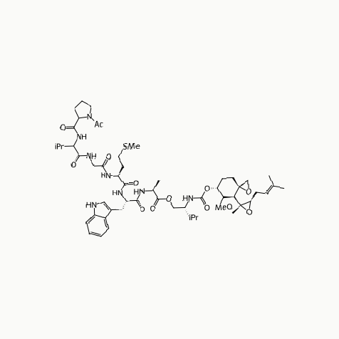 COC1[C@H](OC(=O)N[C@@H](COC(=O)[C@H](C)NC(=O)[C@H](Cc2c[nH]c3ccccc23)NC(=O)[C@H](CCSC)NC(=O)CNC(=O)C(NC(=O)C2CCCN2C(C)=O)C(C)C)C(C)C)CC[C@]2(CO2)[C@H]1[C@@]1(C)O[C@@H]1CC=C(C)C